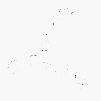 CC(C)(C)OC(=O)N1CCC(S(=O)(=O)N2C[C@H](c3ccccc3)C[C@H]2c2nc(CCCc3ccccc3)no2)CC1